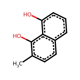 Cc1ccc2cccc(O)c2c1O